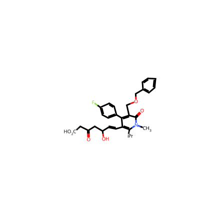 CC(C)c1c(C=CC(O)CC(=O)CC(=O)O)c(-c2ccc(F)cc2)c(COCc2ccccc2)c(=O)n1C